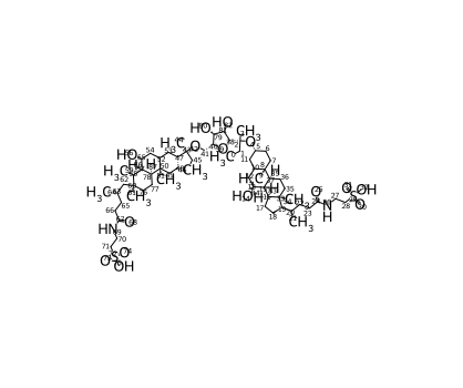 CCC(C)(O[C@@H]1CC[C@@]2(C)C(C1)C[C@H](O)[C@H]1[C@@H]3CC[C@H]([C@H](C)CCC(=O)NCCS(=O)(=O)O)[C@@]3(C)CC[C@@H]12)[C@@H]1O[C@H](CO[C@@](C)(CC)[C@@H]2CC[C@@]3(C)C(C2)C[C@H](O)[C@H]2[C@H](C)[C@@](C)(C[C@@H](C)CCC(=O)NCCS(=O)(=O)O)CC[C@@H]23)[C@@H](O)[C@H]1O